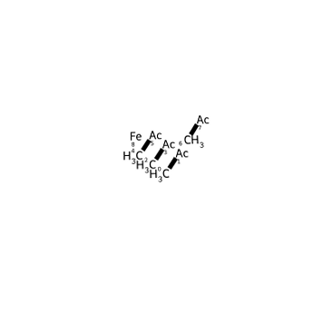 CC(C)=O.CC(C)=O.CC(C)=O.CC(C)=O.[Fe]